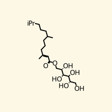 CC(=CC(=O)OC[C@H](O)[C@H](O)[C@@H](O)[C@@H](O)CO)CCCC(C)CCCC(C)C